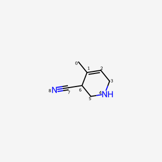 CC1=CCNCC1C#N